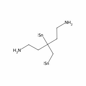 NCC[C]([Sn])([CH2][Sn])CCN